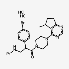 CC(C)NCC(C(=O)N1CCN(c2ncnc3c2C(C)CC3)CC1)c1ccc(Br)cc1.Cl.Cl